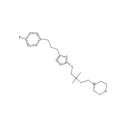 CC(C)(CCc1ccc(CCCc2ccc(F)cc2)s1)CCN1CCOCC1